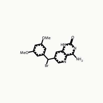 COc1cc(OC)cc(C(Br)c2cnc3c(N)nc(=O)[nH]c3c2)c1